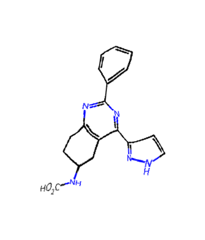 O=C(O)NC1CCc2nc(-c3ccccc3)nc(-c3cc[nH]n3)c2C1